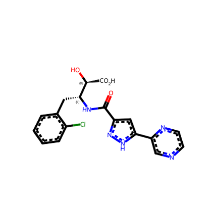 O=C(N[C@H](Cc1ccccc1Cl)[C@@H](O)C(=O)O)c1cc(-c2cnccn2)[nH]n1